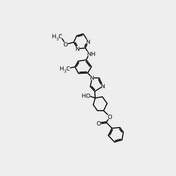 COc1ccnc(Nc2cc(C)cc(-n3cnc(C4(O)CCC(OC(=O)c5ccccc5)CC4)c3)c2)n1